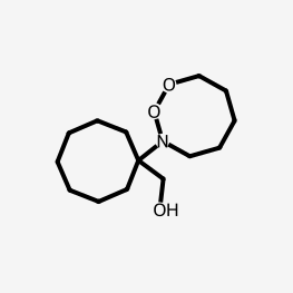 OCC1(N2CCCCCOO2)CCCCCCC1